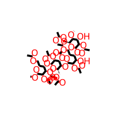 COC1C(O)C(OC(C)=O)[C@@H](OC2C(COC(C)=O)O[C@@H](OC3C(OC(C)=O)C(OC(C)=O)[C@@H](OC4C(COC(C)=O)O[C@@H](OC)C(OC(C)=O)[C@@H]4OC(C)=O)O[C@H]3COC(C)=O)C(OC(C)=O)[C@@H]2O)O[C@H]1COC(C)=O